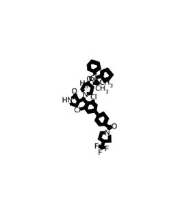 CC(C)(C)[Si](OC1CCN(C(c2c(Cl)cc(-c3ccc(C(=O)N4CCC(C(F)(F)F)CC4)cc3)cc2Cl)C2CCNC2=O)CC1)(c1ccccc1)c1ccccc1